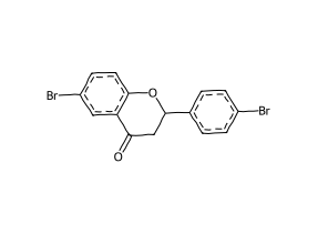 O=C1CC(c2ccc(Br)cc2)Oc2ccc(Br)cc21